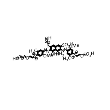 COc1cc(S(=O)(=O)CCOS(=O)(=O)O)c(C)cc1/N=N/c1c(S(=O)(=O)O)cc2cc(SOOO)c(/N=N/c3cc(C)c(S(=O)(=O)CCOSOOO)cc3OC)c(O)c2c1N